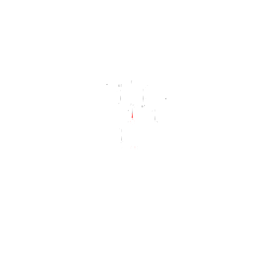 CC(=O)CO[C@H]1C[C@H](C)CC[C@@H]1C(C)C